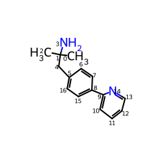 CC(C)(N)Cc1ccc(-c2ccccn2)cc1